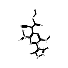 CCOC(=O)C(C#N)c1cc(OC)c(-c2c(C)noc2C)nc1[N+](=O)[O-]